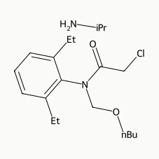 CC(C)N.CCCCOCN(C(=O)CCl)c1c(CC)cccc1CC